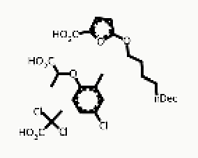 CC(Cl)(Cl)C(=O)O.CCCCCCCCCCCCCCOc1ccc(C(=O)O)o1.Cc1cc(Cl)ccc1OC(C)C(=O)O